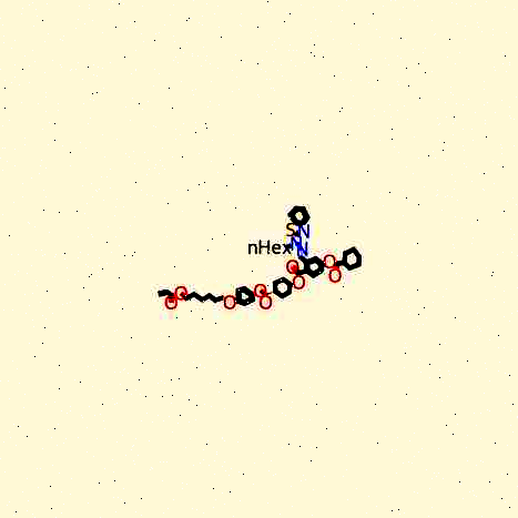 C=CC(=O)OCCCCCCOc1ccc(OC(=O)[C@H]2CC[C@H](OC(=O)c3ccc(OC(=O)C4CCCCC4)cc3/C=N/N(CCCCCC)c3nc4ccccc4s3)CC2)cc1